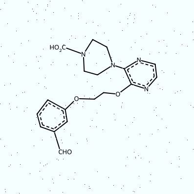 O=Cc1cccc(OCCOc2nccnc2N2CCN(C(=O)O)CC2)c1